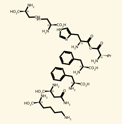 CC(C)C[C@H](N)C(=O)O.CC(C)[C@H](N)C(=O)OC(=O)[C@@H](N)Cc1c[nH]cn1.NC(=O)C[C@H](N)C(=O)O.NCCCC[C@H](N)C(=O)O.N[C@@H](CO)C(=O)O.N[C@@H](Cc1ccccc1)C(=O)O.N[C@@H](Cc1ccccc1)C(=O)O